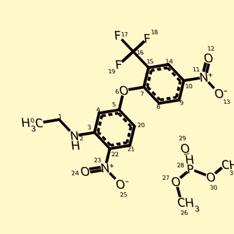 CCNc1cc(Oc2ccc([N+](=O)[O-])cc2C(F)(F)F)ccc1[N+](=O)[O-].CO[PH](=O)OC